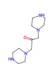 O=C(CN1CCNCC1)CN1CCNCC1